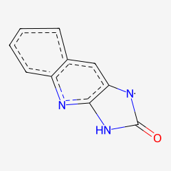 O=C1[N]c2cc3ccccc3nc2N1